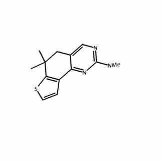 CNc1ncc2c(n1)-c1ccsc1C(C)(C)C2